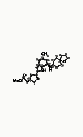 COC(=O)C[C@@H]1CSC(c2cc3cc(C)cc(NC4CCC5(CCCO5)CC4)c3[nH]2)=N1